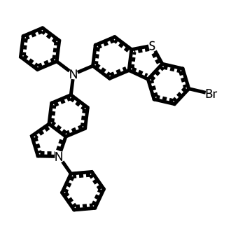 Brc1ccc2c(c1)sc1ccc(N(c3ccccc3)c3ccc4c(ccn4-c4ccccc4)c3)cc12